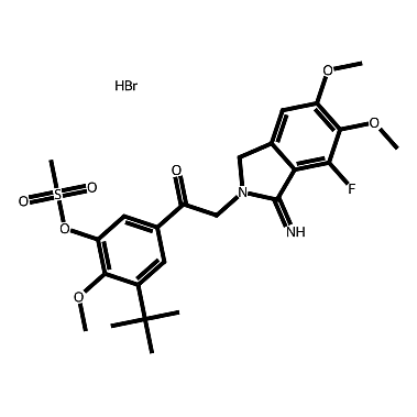 Br.COc1cc2c(c(F)c1OC)C(=N)N(CC(=O)c1cc(OS(C)(=O)=O)c(OC)c(C(C)(C)C)c1)C2